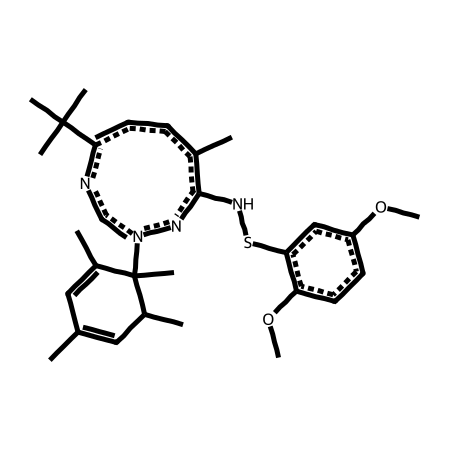 COc1ccc(OC)c(SNc2nn(C3(C)C(C)=CC(C)=CC3C)cnc(C(C)(C)C)ccc2C)c1